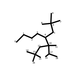 CCCC[C](CC(C)(C)C)C(C)(CC(C)(C)C)C(C)C